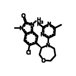 Cc1cc(N2CCCOC[C@H]2c2cc3c(cc2Cl)n(C)c(=O)n3C)nc(N)n1